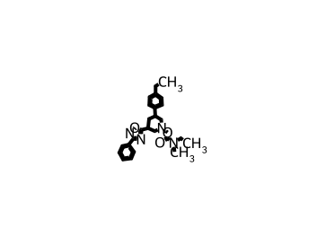 CCc1ccc(C2CC(c3nc(-c4ccccc4)no3)CN(OC(=O)N(C)CC)C2)cc1